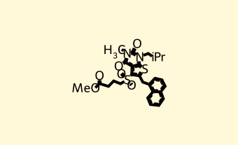 COC(=O)CCCS(=O)(=O)c1c(Cc2cccc3ccccc23)sc2c1c(=O)n(C)c(=O)n2CC(C)C